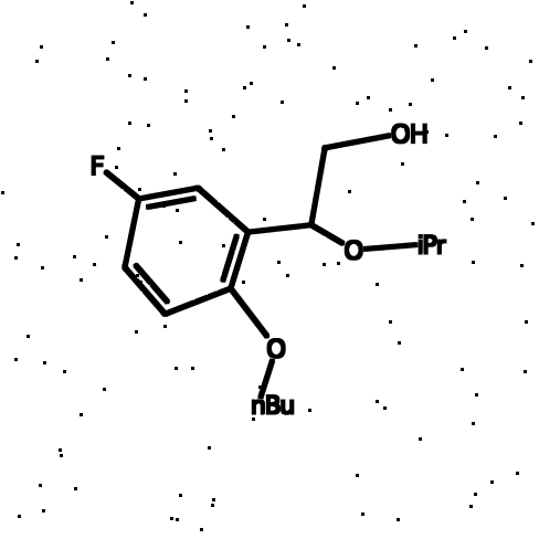 CCCCOc1ccc(F)cc1C(CO)OC(C)C